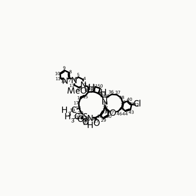 CO[C@@]1(CN2CCN(c3ccccn3)CC2)/C=C/C[C@H](C)[C@@H](C)S(=O)(=O)NC(=O)c2ccc3c(c2)N(CCCCc2cc(Cl)ccc2CO3)C[C@@H]2CC[C@H]21